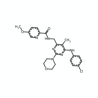 COc1ccc(C(=O)NCc2nc(N3CCOCC3)nc(Nc3ccc(Cl)cc3)c2C)nc1